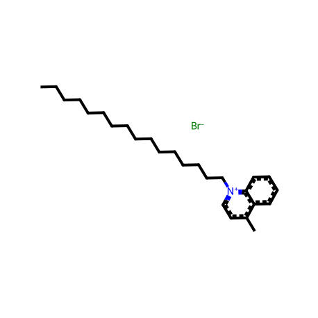 CCCCCCCCCCCCCCCC[n+]1ccc(C)c2ccccc21.[Br-]